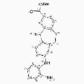 CNC(=O)c1ccc2c(c1)C(=O)c1ccc(Nc3ccccc3N)cc1CC2